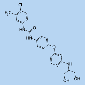 O=C(Nc1ccc(Oc2ccnc(NC(CO)CO)n2)cc1)Nc1ccc(Cl)c(C(F)(F)F)c1